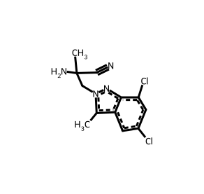 Cc1c2cc(Cl)cc(Cl)c2nn1CC(C)(N)C#N